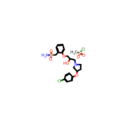 CS(=O)(=O)Cl.NS(=O)(=O)Cc1ccccc1OCC(O)CN1CCC(Oc2ccc(Cl)cc2)C1